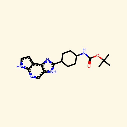 CC(C)(C)OC(=O)NC1CCC(c2nc3c(cnc4[nH]ccc43)[nH]2)CC1